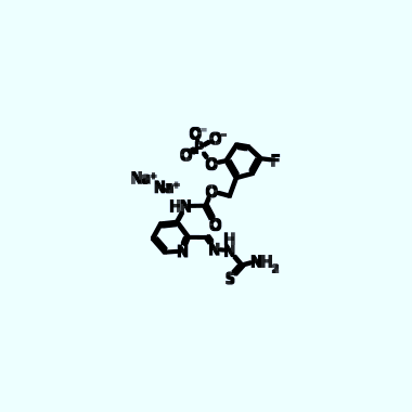 NC(=S)NN=Cc1ncccc1NC(=O)OCc1cc(F)ccc1OP(=O)([O-])[O-].[Na+].[Na+]